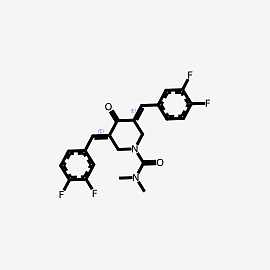 CN(C)C(=O)N1C/C(=C\c2ccc(F)c(F)c2)C(=O)/C(=C/c2ccc(F)c(F)c2)C1